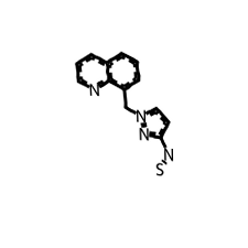 S=Nc1ccn(Cc2cccc3cccnc23)n1